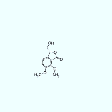 COc1ccc2c(c1OC)C(=O)O[C@H]2CO